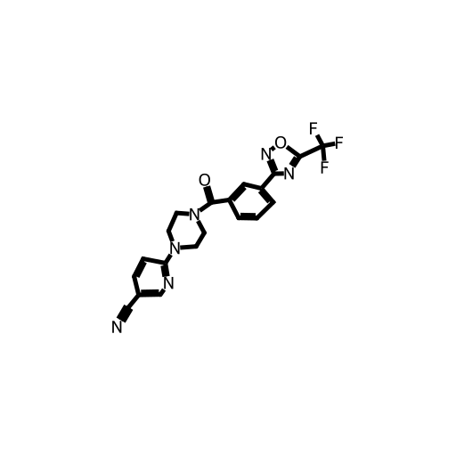 N#Cc1ccc(N2CCN(C(=O)c3cccc(-c4noc(C(F)(F)F)n4)c3)CC2)nc1